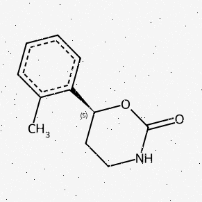 Cc1ccccc1[C@@H]1CCNC(=O)O1